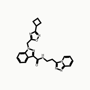 O=C(NCCc1nnc2ccccn12)c1nn(Cc2nc(C3CCC3)no2)c2ccccc12